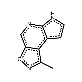 Cc1noc2cnc3[nH]ccc3c12